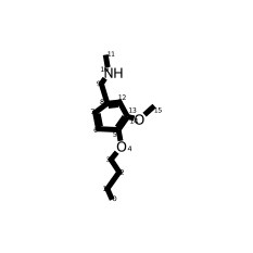 CCCCOc1ccc(CNC)cc1OC